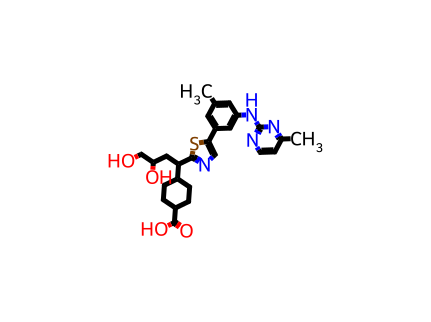 Cc1cc(Nc2nccc(C)n2)cc(-c2cnc(C(CC(O)CO)C3CCC(C(=O)O)CC3)s2)c1